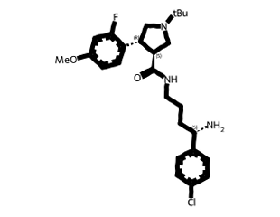 COc1ccc([C@@H]2CN(C(C)(C)C)C[C@H]2C(=O)NCCC[C@H](N)c2ccc(Cl)cc2)c(F)c1